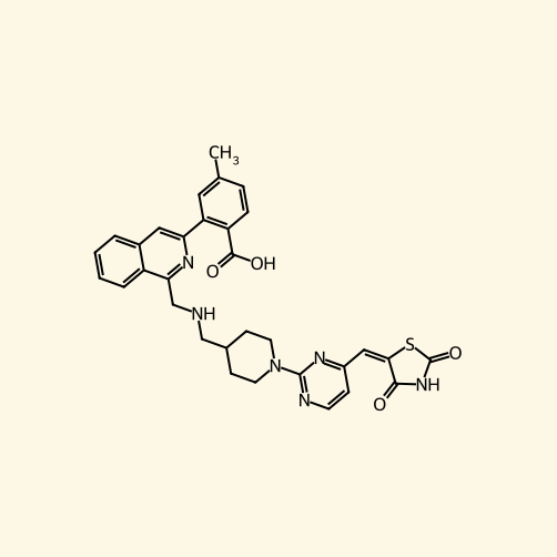 Cc1ccc(C(=O)O)c(-c2cc3ccccc3c(CNCC3CCN(c4nccc(C=C5SC(=O)NC5=O)n4)CC3)n2)c1